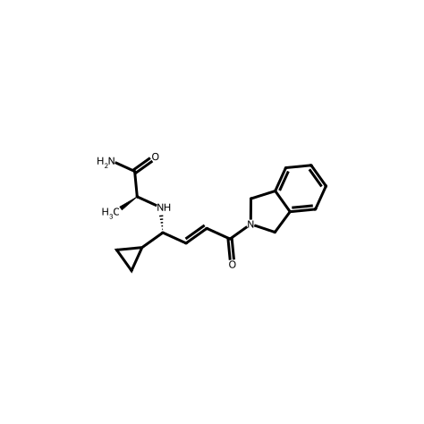 C[C@H](N[C@H](/C=C/C(=O)N1Cc2ccccc2C1)C1CC1)C(N)=O